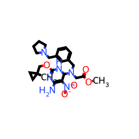 COC(=O)CN(Cc1cccc(CN2CCCC2)c1)C1NC(OCC2(C)CC2)=NC(N)=C1[N+](=O)[O-]